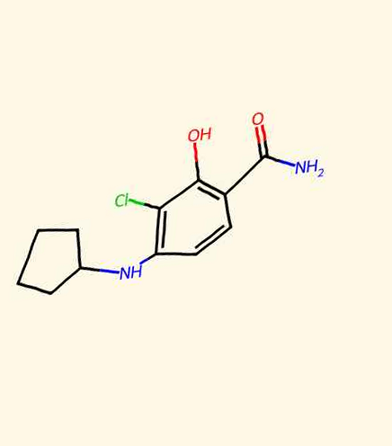 NC(=O)c1ccc(NC2CCCC2)c(Cl)c1O